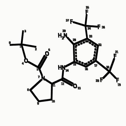 CC(C)(C)OC(=O)N1CCCC1C(=O)Nc1cc(C(F)(F)F)cc(C(F)(F)F)c1N